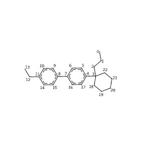 CCCC1(c2ccc(-c3ccc(CC)cc3)cc2)CCCCC1